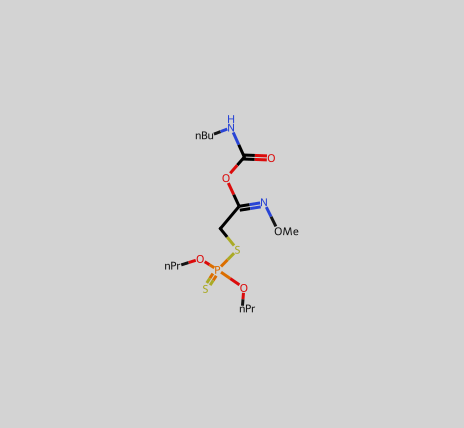 CCCCNC(=O)OC(CSP(=S)(OCCC)OCCC)=NOC